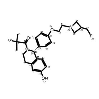 CC(C)(F)C(=O)N1CCc2cc(O)ccc2[C@H]1c1ccc(OCCN2CC(CF)C2)cc1